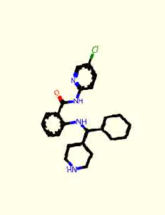 O=C(Nc1ccc(Cl)cn1)c1ccccc1NC(C1CCCCC1)C1CCNCC1